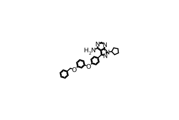 Nc1ncnc2c1c(-c1ccc(Oc3cccc(OCc4ccccc4)c3)cc1)nn2C1CCCC1